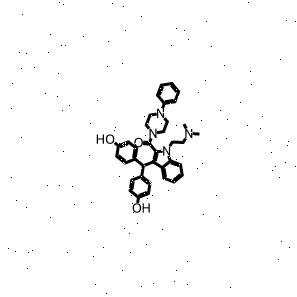 CN(C)CCn1c(C(=O)N2CCN(c3ccccc3)CC2)c(C(c2ccc(O)cc2)c2ccc(O)cc2)c2ccccc21